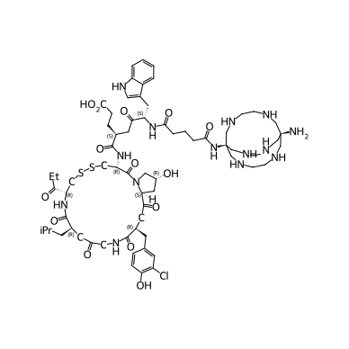 CCC(=O)[C@@H]1CSSC[C@H](NC(=O)[C@@H](CCC(=O)O)CC(=O)[C@H](Cc2c[nH]c3ccccc23)NC(=O)CCCC(=O)N[C@]23CNCCNC[C@](N)(CNCCNC2)CNCCNC3)C(=O)N2C[C@H](O)C[C@H]2C(=O)C[C@@H](Cc2ccc(O)c(Cl)c2)C(=O)NCC(=O)C[C@@H](CC(C)C)C(=O)N1